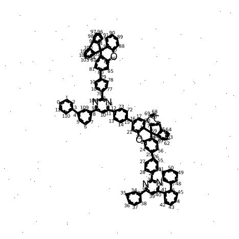 c1ccc(-c2cccc(-c3cc(-c4ccc(-c5ccc6c(c5)Oc5cc(-c7ccc(-c8nc(-c9ccccc9)cc(-c9ccccc9-c9ccccc9)n8)cc7)ccc5C65c6ccccc6-c6ccccc65)cc4)nc(-c4ccc(-c5ccc6c(c5)Oc5ccccc5C65c6ccccc6-c6ccccc65)cc4)n3)c2)cc1